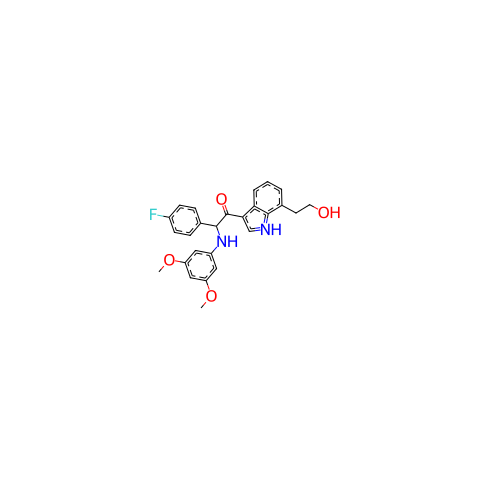 COc1cc(NC(C(=O)c2c[nH]c3c(CCO)cccc23)c2ccc(F)cc2)cc(OC)c1